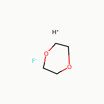 C1COCCO1.[F-].[H+]